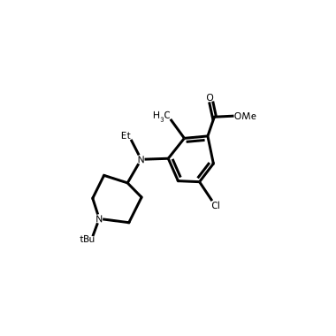 CCN(c1cc(Cl)cc(C(=O)OC)c1C)C1CCN(C(C)(C)C)CC1